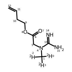 [2H]C([2H])([2H])N(CC(=O)OCCC=C)C(=N)N